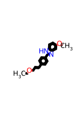 CCOC/C=C/c1ccc(-c2nc3cc(OC)ccc3[nH]2)cc1